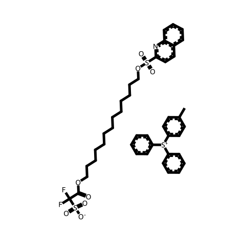 Cc1ccc([S+](c2ccccc2)c2ccccc2)cc1.O=C(OCCCCCCCCCCCCCOS(=O)(=O)c1ccc2ccccc2n1)C(F)(F)S(=O)(=O)[O-]